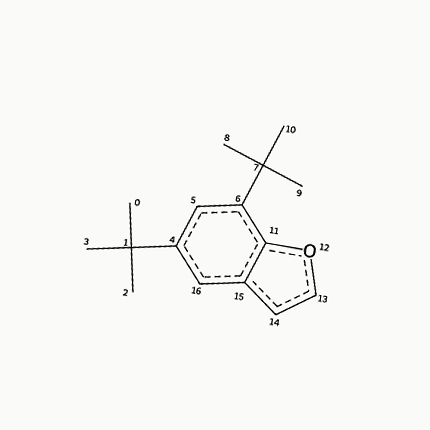 CC(C)(C)c1cc(C(C)(C)C)c2occc2c1